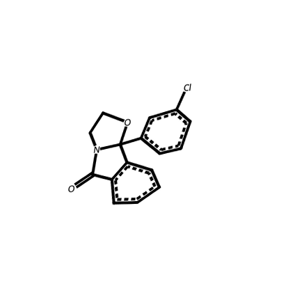 O=C1c2ccccc2C2(c3cccc(Cl)c3)OCCN12